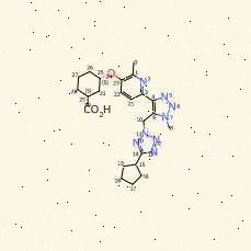 Cc1nc(-c2nnn(C)c2Cn2nnc(C3CCCC3)n2)ccc1O[C@H]1CCC[C@H](C(=O)O)C1